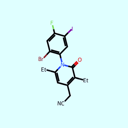 CCc1c(CC#N)cc(CC)n(-c2cc(I)c(F)cc2Br)c1=O